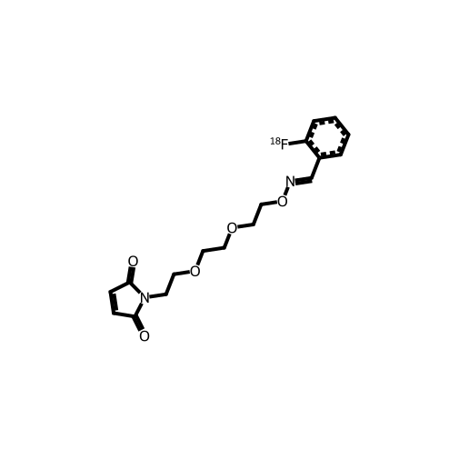 O=C1C=CC(=O)N1CCOCCOCCON=Cc1ccccc1[18F]